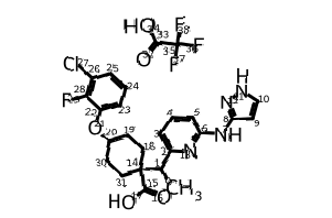 CC(c1cccc(Nc2cc[nH]n2)n1)[C@]1(C(=O)O)CC[C@H](Oc2cccc(Cl)c2F)CC1.O=C(O)C(F)(F)F